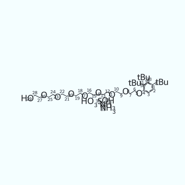 CC(C)(C)c1ccc(OCCOCCOCCOCCOCCOCCOCCOCCO)c(C(C)(C)C)c1C(C)(C)C.N.N.O=S(=O)(O)O